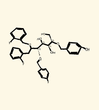 OC[C@@H](OCc1ccc(O)cc1)[C@@H](O)[C@H](O)[C@H](OCc1ccc(F)cc1)C(Cc1ccccc1F)OCc1ccccc1F